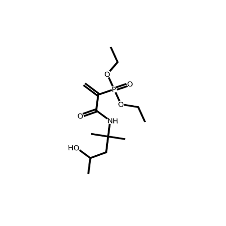 C=C(C(=O)NC(C)(C)CC(C)O)P(=O)(OCC)OCC